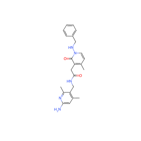 Cc1cc(N)nc(C)c1CNC(=O)Cc1c(C)ccn(NCc2ccccc2)c1=O